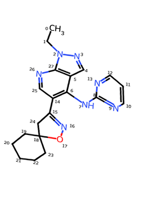 CCn1ncc2c(Nc3ncccn3)c(C3=NOC4(CCCCC4)C3)cnc21